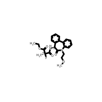 CCOC(=O)[C@](C)(F)C(=O)N[C@@H]1C(=O)N(CCOC)c2ccccc2-c2ccccc21